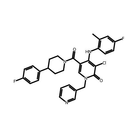 Cc1cc(F)ccc1Nc1c(C(=O)N2CCC(c3ccc(F)cc3)CC2)cn(Cc2cccnc2)c(=O)c1Cl